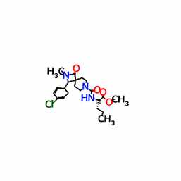 CCC[C@H](NC(=O)N1CCC2(CC1)C(=O)N(C)C2C1C=CC(Cl)=CC1)C(=O)OC